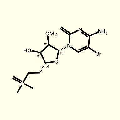 C=C1N=C(N)C(Br)=CN1[C@@H]1O[C@H](CCP(=C)(C)C)[C@@H](O)[C@H]1OC